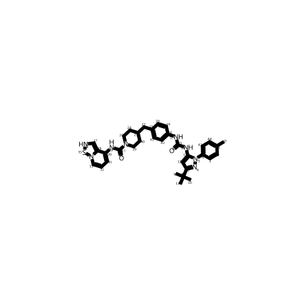 Cc1ccc(-n2nc(C(C)(C)C)cc2NC(=O)Nc2ccc(CC3CCN(C(=O)NC4=CC=CN5SNC=C45)CC3)cc2)cc1